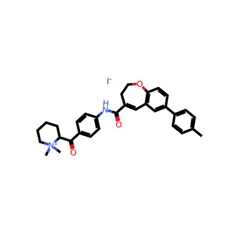 Cc1ccc(-c2ccc3c(c2)C=C(C(=O)Nc2ccc(C(=O)C4CCCC[N+]4(C)C)cc2)CCO3)cc1.[I-]